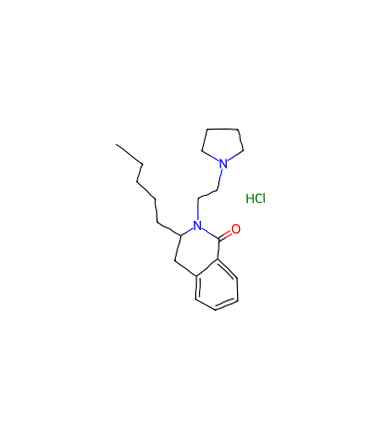 CCCCCC1Cc2ccccc2C(=O)N1CCN1CCCC1.Cl